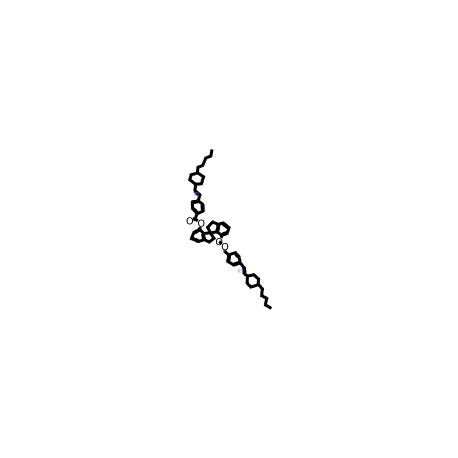 CCCCCC1CCC(/C=C/c2ccc(COOc3cccc4c3C3(CC4)CCc4cccc(OC(=O)c5ccc(/C=C/C6CCC(CCCCC)CC6)cc5)c43)cc2)CC1